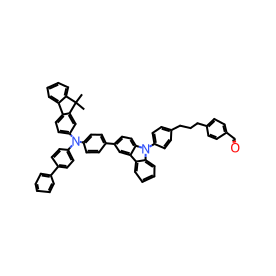 CC1(C)c2ccccc2-c2ccc(N(c3ccc(-c4ccccc4)cc3)c3ccc(-c4ccc5c(c4)c4ccccc4n5-c4ccc(CCCc5ccc(C=O)cc5)cc4)cc3)cc21